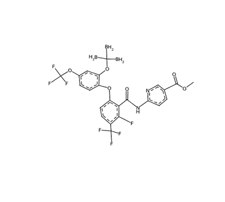 BC(B)(B)Oc1cc(OC(F)(F)F)ccc1Oc1ccc(C(F)(F)F)c(F)c1C(=O)Nc1ccc(C(=O)OC)cn1